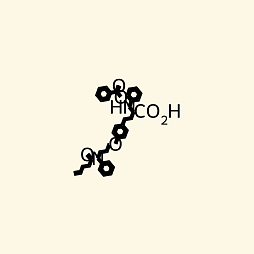 C=CCCC(=O)N(CCCOc1ccc(CCC(Nc2ccccc2OC(=O)c2ccccc2)C(=O)O)cc1)c1ccccc1